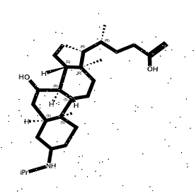 C=C(O)CC[C@@H](C)[C@H]1CC[C@H]2[C@@H]3C(O)C[C@@H]4CC(NC(C)C)CC[C@]4(C)[C@H]3CC[C@]12C